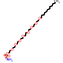 CCCCCCCCCCCCOCCOCCOCCOCCOCCOCCOCCOCCOS(=O)(=O)ON